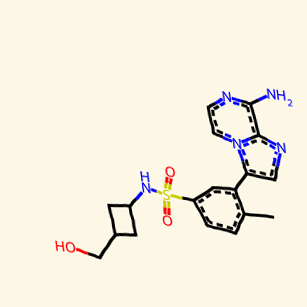 Cc1ccc(S(=O)(=O)NC2CC(CO)C2)cc1-c1cnc2c(N)nccn12